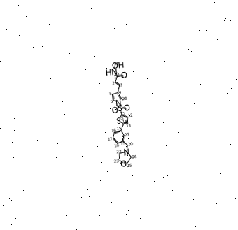 O=C(/C=C/c1ccn(S(=O)(=O)c2ccc(-c3cccc(CN4CCOCC4)c3)s2)c1)NO